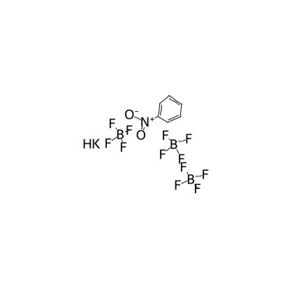 F[B-](F)(F)F.F[B-](F)(F)F.F[B-](F)(F)F.O=[N+]([O-])c1ccccc1.[KH]